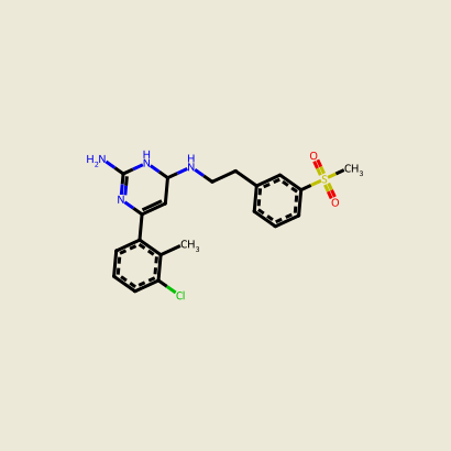 Cc1c(Cl)cccc1C1=CC(NCCc2cccc(S(C)(=O)=O)c2)NC(N)=N1